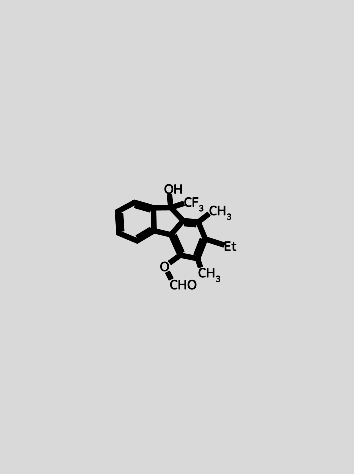 CCc1c(C)c(OC=O)c2c(c1C)C(O)(C(F)(F)F)c1ccccc1-2